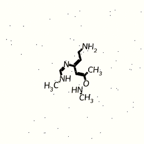 CN\C=N/C(=C\CN)/C=C(\C)ONC